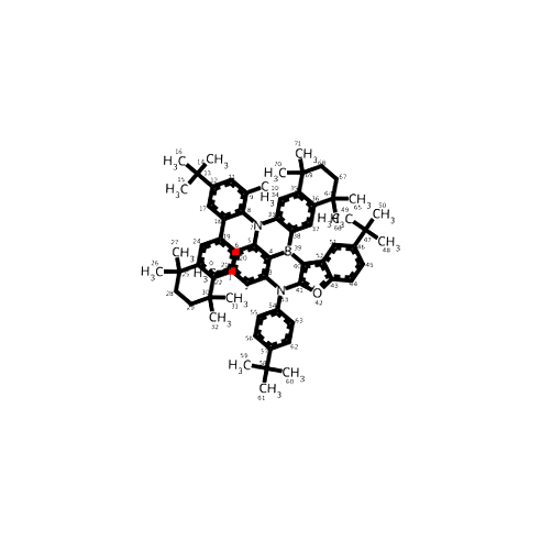 Cc1cc2c3c(c1)N(c1c(C)cc(C(C)(C)C)cc1-c1ccc4c(c1)C(C)(C)CCC4(C)C)c1cc4c(cc1B3c1c(oc3ccc(C(C)(C)C)cc13)N2c1ccc(C(C)(C)C)cc1)C(C)(C)CCC4(C)C